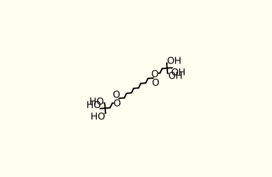 O=C(CCCCCCCCC(=O)OCCC(CO)(CO)CO)OCCC(CO)(CO)CO